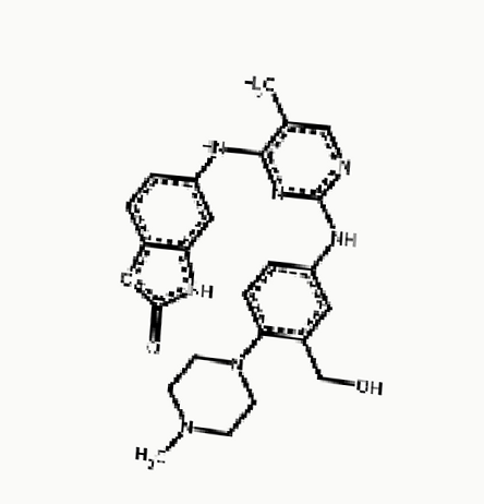 Cc1cnc(Nc2ccc(N3CCN(C)CC3)c(CO)c2)nc1Nc1ccc2oc(=O)[nH]c2c1